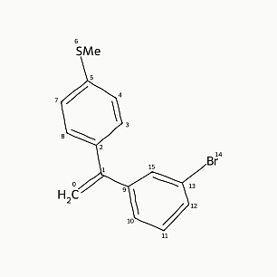 C=C(c1ccc(SC)cc1)c1cccc(Br)c1